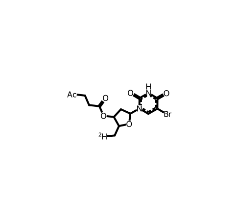 [2H]CC1OC(n2cc(Br)c(=O)[nH]c2=O)CC1OC(=O)CCC(C)=O